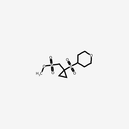 COS(=O)(=O)CC1(S(=O)(=O)C2CCOCC2)CC1